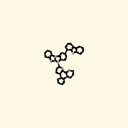 c1ccc2c(c1)nc1n(-c3ccc4c5ccccc5c5cccnc5c4n3)c3ccc(-c4cccc5c4oc4ccccc45)cc3n21